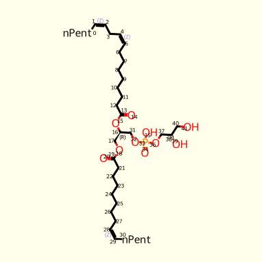 CCCCC/C=C\C/C=C\CCCCCCCC(=O)O[C@H](COC(=O)CCCCCCC/C=C\CCCCC)COP(=O)(O)OC[C@@H](O)CO